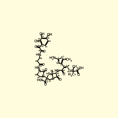 Cc1sc(N)nc1/C(=N/OC(C)(C)C(=O)O)C(=O)N[C@@H]1C(=O)N2C[C@@](C(=O)O)(N3CCN(NC(=O)CCNC(=O)C(=O)c4ccc(O)c(O)c4Cl)C3=O)S[C@H]12